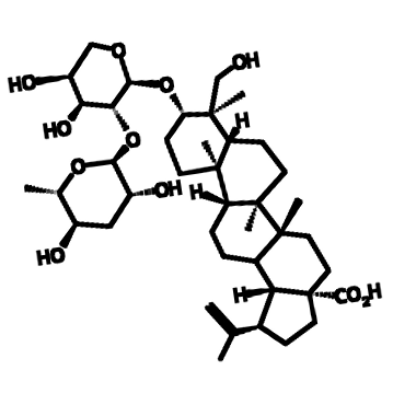 C=C(C)[C@@H]1CC[C@]2(C(=O)O)CC[C@]3(C)C(CC[C@@H]4[C@@]5(C)CC[C@H](O[C@@H]6OC[C@H](O)[C@H](O)[C@H]6O[C@@H]6O[C@@H](C)[C@H](O)C[C@H]6O)[C@@](C)(CO)[C@@H]5CC[C@]43C)[C@@H]12